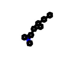 c1ccc(-c2ccc(-c3ccc4c5c(cccc35)-c3cc(-c5ccc6c(c5)c5ccccc5n6-c5ccccc5)ccc3-4)cc2)cc1